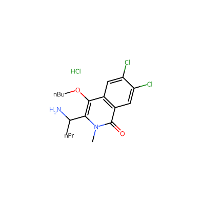 CCCCOc1c(C(N)CCC)n(C)c(=O)c2cc(Cl)c(Cl)cc12.Cl